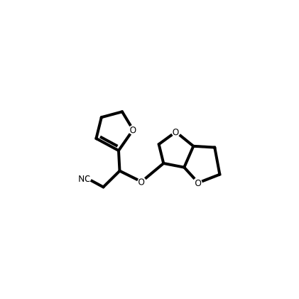 N#CCC(OC1COC2CCOC21)C1=CCCO1